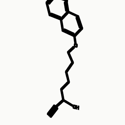 C#CC(O)CCCCCOc1ccc2ncccc2c1